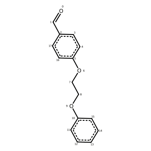 O=Cc1ccc(OCCOc2ccccc2)cc1